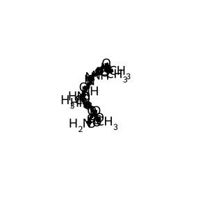 CC(C)C1CC(=O)N(CC2CCC(NCc3cn(CCCC(=O)NCC(=O)N[C@@H](C)C(=O)Nc4ccc(COC(=O)N(CCS(C)(=O)=O)COCC(N)=O)cc4)nn3)CC2)C1=O